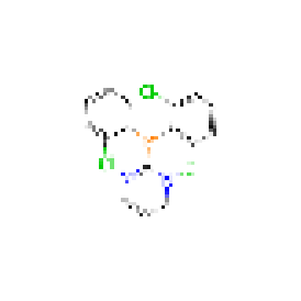 Clc1ccccc1P(C1=NC=CCN1Cl)c1ccccc1Cl